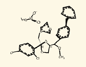 COC(c1ccc(-c2ccccc2)cc1)[C@H]1CO[C@@](Cn2ccnc2)(c2ccc(Cl)cc2Cl)O1.O=[N+]([O-])O